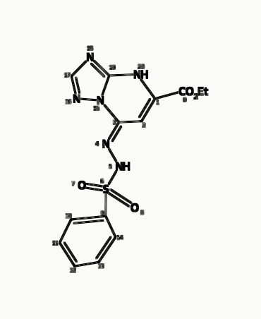 CCOC(=O)c1c/c(=N\NS(=O)(=O)c2ccccc2)n2ncnc2[nH]1